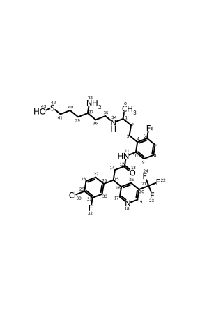 CC(CCc1c(F)cccc1NC(=O)CC(c1cncc(C(F)(F)F)c1)c1ccc(Cl)c(F)c1)NCCC(N)CCCSO